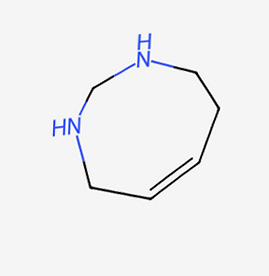 C1=CCNCNCC1